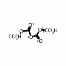 O=C(O)OC(=O)OC(=O)OC(=O)O